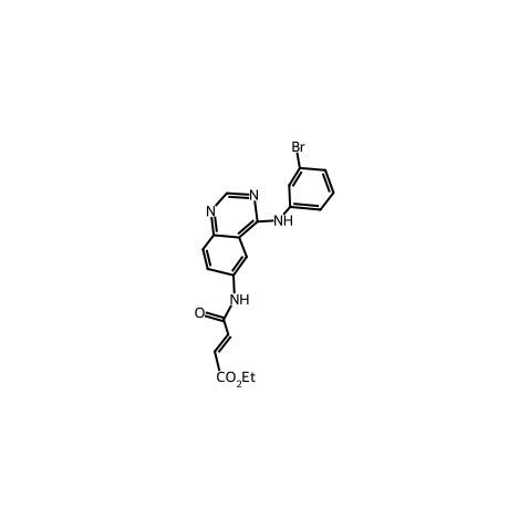 CCOC(=O)C=CC(=O)Nc1ccc2ncnc(Nc3cccc(Br)c3)c2c1